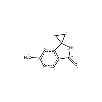 Cc1ccc2c(c1)C1(CC1)NC2=O